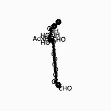 CC(=O)N[C@H]1[C@H]([C@H](O)[C@H](O)CNC(=O)c2ccc(-c3ccccc3)cc2)O[C@](C=O)(OCCCSCCOCCOCCOCCOCCOCCCC(=O)c2ccc(C=O)cc2)C[C@@H]1O